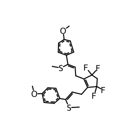 COc1ccc(/C(=C/CC2=C(C/C=C(\SC)c3ccc(OC)cc3)C(F)(F)CC2(F)F)SC)cc1